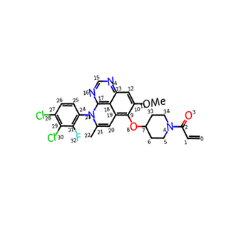 C=CC(=O)N1CCC(Oc2c(OC)cc3ncnc4c3c2C=C(C)N4c2ccc(Cl)c(Cl)c2F)CC1